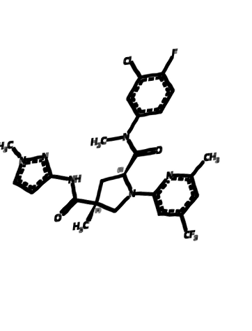 Cc1cc(C(F)(F)F)cc(N2C[C@](C)(C(=O)Nc3ccn(C)n3)C[C@H]2C(=O)N(C)c2ccc(F)c(Cl)c2)n1